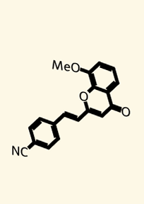 COc1cccc2c(=O)cc(C=Cc3ccc(C#N)cc3)oc12